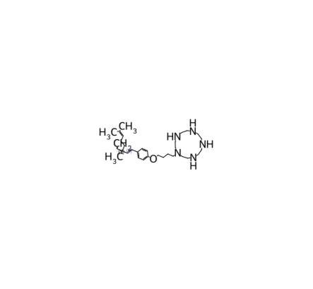 C=C[C@@](C)(/C=C/c1ccc(OCCCCN2CCNCCNCCNCCNCC2)cc1)CCC=C(C)C